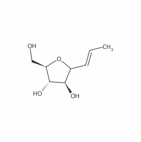 CC=CC1O[C@H](CO)[C@@H](O)[C@@H]1O